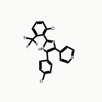 FC(F)(F)c1cccc(Cl)c1-c1nc(-c2ccncc2)c(-c2ccc(Cl)cc2)[nH]1